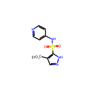 CCOC(=O)c1cn[nH]c1S(=O)(=O)Nc1ccncc1